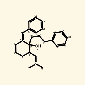 CN(C)CC1CCCC(=Cc2ccccc2)C1(O)CCCc1ccccc1